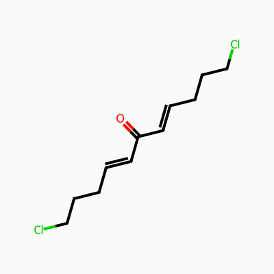 O=C(C=CCCCCl)C=CCCCCl